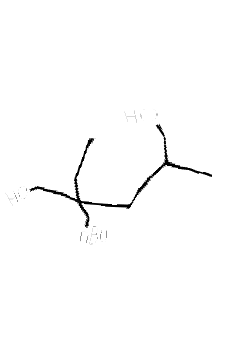 CCCCC(C)(O)CC(C)O